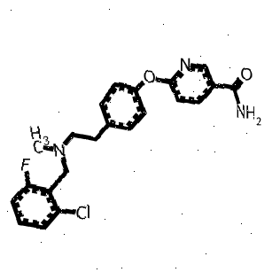 CN(CCc1ccc(Oc2ccc(C(N)=O)cn2)cc1)Cc1c(F)cccc1Cl